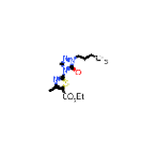 CCOC(=O)c1sc(-n2cnn(CCCC(F)(F)F)c2=O)nc1C